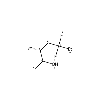 CCC(F)(F)C[C@@H](C)C(C)O